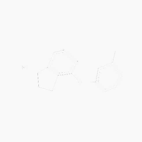 Cc1cccc(Oc2cccc3c2CC[C@@H]3O)c1